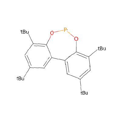 CC(C)(C)c1cc2c(c(C(C)(C)C)c1)O[P]Oc1c-2cc(C(C)(C)C)cc1C(C)(C)C